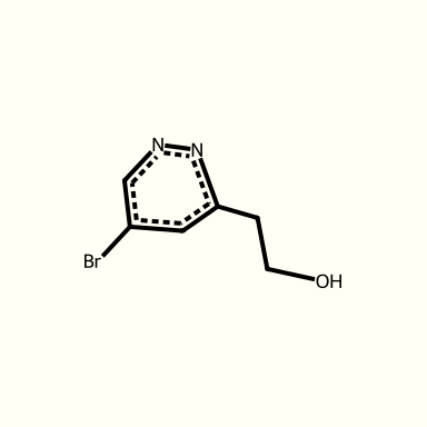 OCCc1cc(Br)cnn1